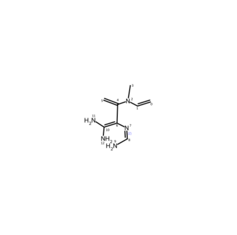 C=CN(C)C(=C)C(/N=C\N)=C(N)N